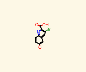 O=C(O)c1nc2ccc(O)cc2cc1Br